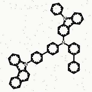 c1ccc(-c2cccc(N(c3ccc(-c4ccc(-n5c6ccccc6c6c7ccccc7ccc65)cc4)cc3)c3ccc4c(c3)c3ccccc3n4-c3ccccc3)c2)cc1